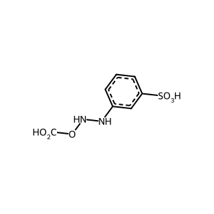 O=C(O)ONNc1cccc(S(=O)(=O)O)c1